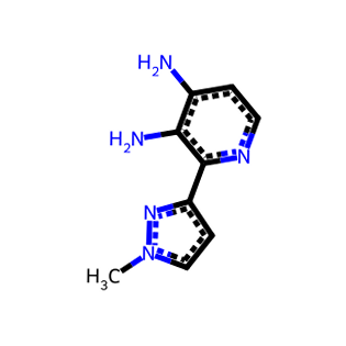 Cn1ccc(-c2nccc(N)c2N)n1